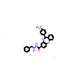 Cc1ccc(C2=Nc3cc(C(=O)NNCc4ccccc4)ccc3Sc3ccccc32)cc1